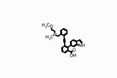 COCCN(C)Cc1ccccc1C#Cc1cccc(C(=O)O)c1-c1ccc2cc[nH]c2c1